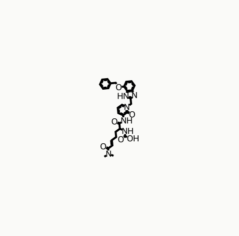 CN(C)C(=O)C=CCCC(NC(=O)O)C(=O)Nc1cccn(Cc2nc3cccc(OCc4ccccc4)c3[nH]2)c1=O